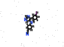 N#Cc1ccc(N(Cc2ccc(I)cc2)c2cncnc2)cc1